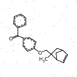 CC1(COc2ccc(C(=O)c3ccccc3)cc2)CC2C=CC1C2